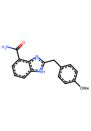 COc1ccc(Cc2nc3c(C(N)=O)cccc3[nH]2)cc1